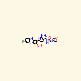 CN(c1ccc(O)c(-c2ccc(CNC(=O)CN3CCOCC3)c(N)n2)c1)c1ccc(F)cc1F